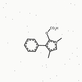 Cc1cn(C)c(OC(=O)O)c1-c1ccccc1